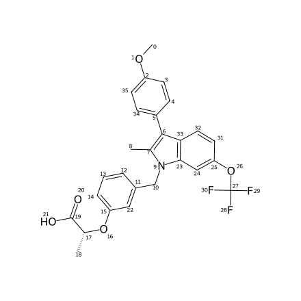 COc1ccc(-c2c(C)n(Cc3cccc(O[C@H](C)C(=O)O)c3)c3cc(OC(F)(F)F)ccc23)cc1